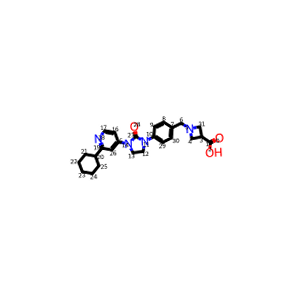 O=C(O)C1CN(Cc2ccc(N3CCN(c4ccnc(C5CCCCC5)c4)C3=O)cc2)C1